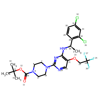 C[C@@H](Nc1nc(N2CCN(C(=O)OC(C)(C)C)CC2)ncc1OCC(F)(F)F)c1ccc(Cl)cc1Cl